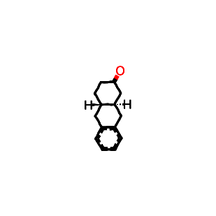 O=C1CC[C@H]2Cc3ccccc3C[C@@H]2C1